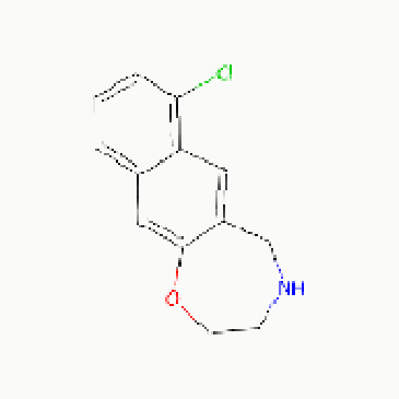 Clc1cccc2cc3c(cc12)CNCCO3